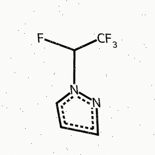 FC(n1cccn1)C(F)(F)F